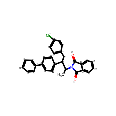 CC(C(Cc1ccc(Cl)cc1)c1ccc(-c2ccccc2)cc1)N1C(=O)c2ccccc2C1=O